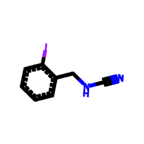 N#CNCc1ccccc1I